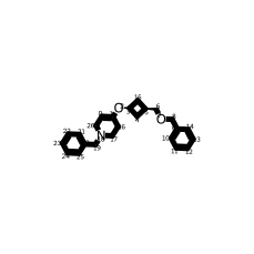 C1=C(O[C@H]2C[C@H](COCc3ccccc3)C2)CCN(Cc2ccccc2)C1